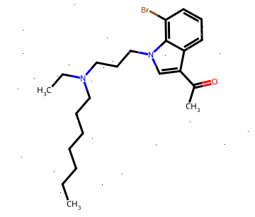 CCCCCCCN(CC)CCCn1cc(C(C)=O)c2cccc(Br)c21